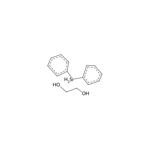 OCCO.c1ccc([SiH2]c2ccccc2)cc1